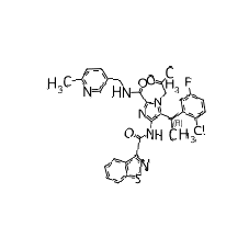 CC(=O)Cn1c(C(=O)NCc2ccc(C)nc2)nc(NC(=O)c2nsc3ccccc23)c1[C@H](C)c1cc(F)ccc1Cl